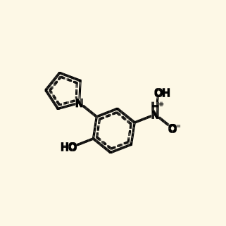 [O-][NH+](O)c1ccc(O)c(-n2cccc2)c1